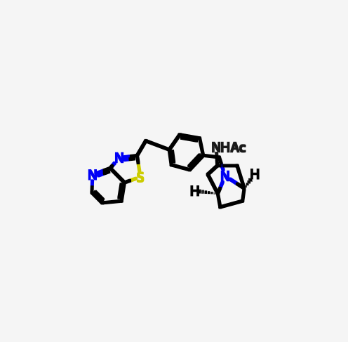 CC(=O)NC1C[C@H]2CC[C@@H](C1)N2Cc1ccc(Cc2nc3ncccc3s2)cc1